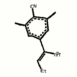 CC/C=C(\CCC)c1cc(C)c(C#N)c(C)c1